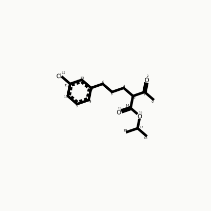 CC(=O)C(CCCc1cccc(Cl)c1)C(=O)OC(C)C